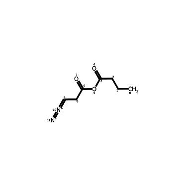 CCCC(=O)OC(=O)CC=[N+]=[N-]